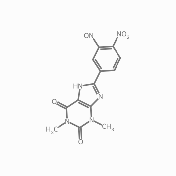 Cn1c(=O)c2[nH]c(-c3ccc([N+](=O)[O-])c(N=O)c3)nc2n(C)c1=O